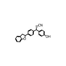 N#CSC(c1ccc(O)cc1)c1ccc(C2Cc3ccccc3O2)cc1